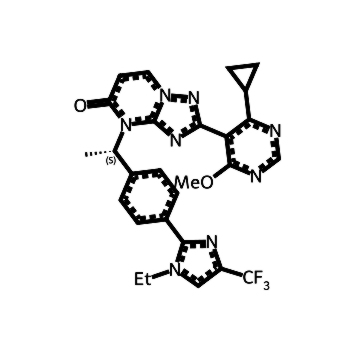 CCn1cc(C(F)(F)F)nc1-c1ccc([C@H](C)n2c(=O)ccn3nc(-c4c(OC)ncnc4C4CC4)nc23)cc1